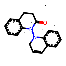 O=C1CCc2ccccc2N1N1CC=Cc2ccccc21